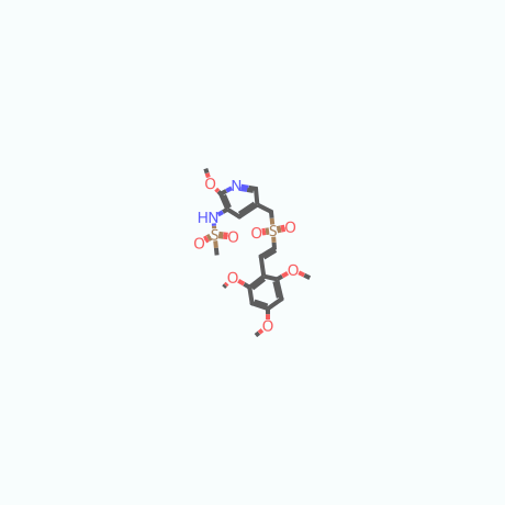 COc1cc(OC)c(C=CS(=O)(=O)Cc2cnc(OC)c(NS(C)(=O)=O)c2)c(OC)c1